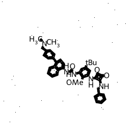 COc1c(NC(=O)Nc2ccc(-c3ccc(CN(C)C)cc3)c3ccccc23)cc(C(C)(C)C)cc1Nc1c(NCc2ccccc2)c(=O)c1=O